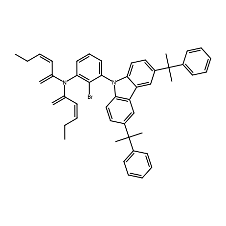 C=C(/C=C\CC)N(C(=C)/C=C\CC)c1cccc(-n2c3ccc(C(C)(C)c4ccccc4)cc3c3cc(C(C)(C)c4ccccc4)ccc32)c1Br